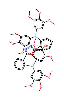 COc1cc(N(c2cc(OC)c(OC)c(OC)c2)c2ccccc2-c2nnc(-c3ccccc3N(c3cc(OC)c(OC)c(OC)c3)c3cc(OC)c(OC)c(OC)c3)o2)cc(OC)c1O